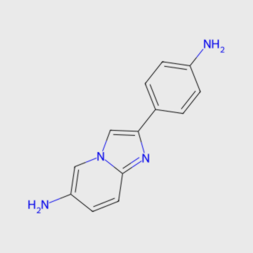 Nc1ccc(-c2cn3cc(N)ccc3n2)cc1